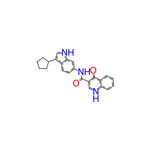 O=C(Nc1ccc2c(C3CCCC3)c[nH]c2c1)c1c[nH]c2ccccc2c1=O